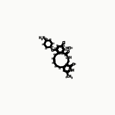 Cc1cc2c(c(=O)[nH]1)CNC(=O)c1cc(Cl)cc(O[C@H]3CC[C@H](N)CC3)c1CC=CCC2.Cl